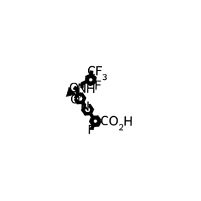 O=C(O)c1cc(F)cc(C2CCN(C3CC[C@@](C(=O)NCc4cc(F)cc(C(F)(F)F)c4)(C4CC4)OC3)CC2)c1